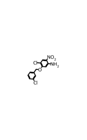 Nc1cc(OCc2cccc(Cl)c2)c(Cl)cc1[N+](=O)[O-]